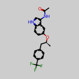 CC(=O)Nc1c[nH]c2ccc(O[C@@H](C)Cc3ccc(C(F)(F)F)cc3)cc12